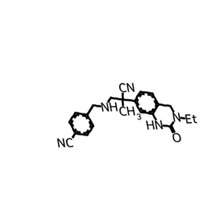 CCN1Cc2ccc(C(C)(C#N)CNCc3ccc(C#N)cc3)cc2NC1=O